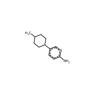 CC1CCN(c2ccc(N)nc2)CC1